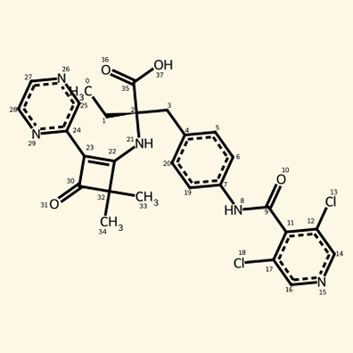 CC[C@@](Cc1ccc(NC(=O)c2c(Cl)cncc2Cl)cc1)(NC1=C(c2cnccn2)C(=O)C1(C)C)C(=O)O